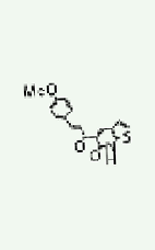 COc1ccc(/C=C/C(=O)c2cc3ccsc3[nH]c2=O)cc1